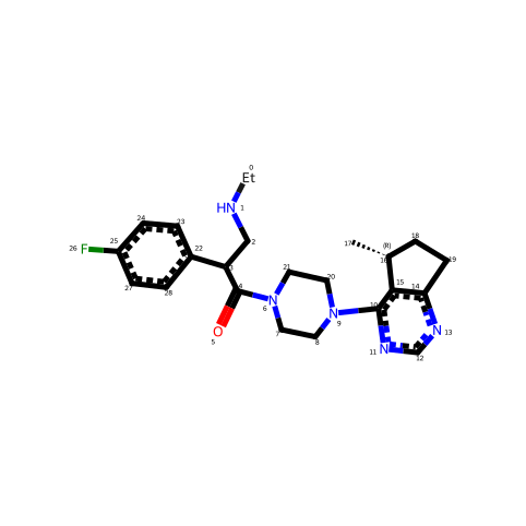 CCNCC(C(=O)N1CCN(c2ncnc3c2[C@H](C)CC3)CC1)c1ccc(F)cc1